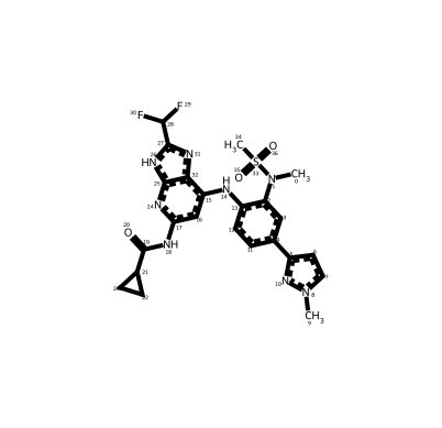 CN(c1cc(-c2ccn(C)n2)ccc1Nc1cc(NC(=O)C2CC2)nc2[nH]c(C(F)F)nc12)S(C)(=O)=O